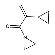 C=C(C(=O)N1CC1)C1CC1